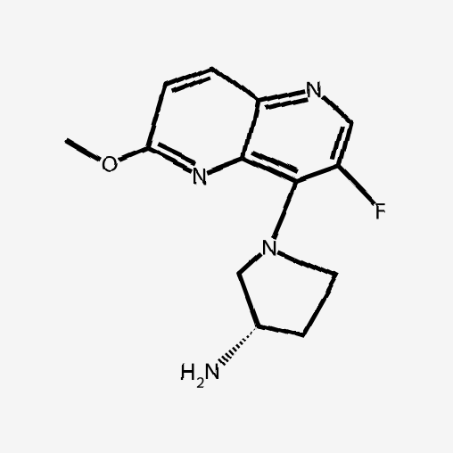 COc1ccc2ncc(F)c(N3CC[C@H](N)C3)c2n1